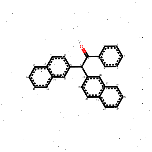 O=C(c1ccccc1)C(c1ccc2ccccc2c1)c1ccc2ccccc2c1